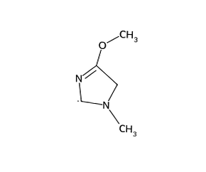 COC1=N[CH]N(C)C1